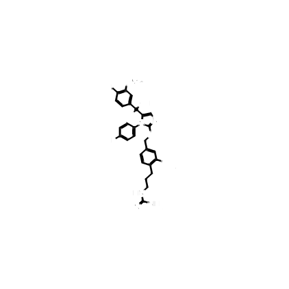 COc1cc(C(C)(C)c2cnc(SCc3ccc(CCCNC(=N)N)c(C(=O)O)c3)n2-c2ccc(F)cc2)ccc1Cl